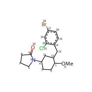 COC1CCC(N2CCCC2=O)CC1Cc1ccc(Br)cc1Cl